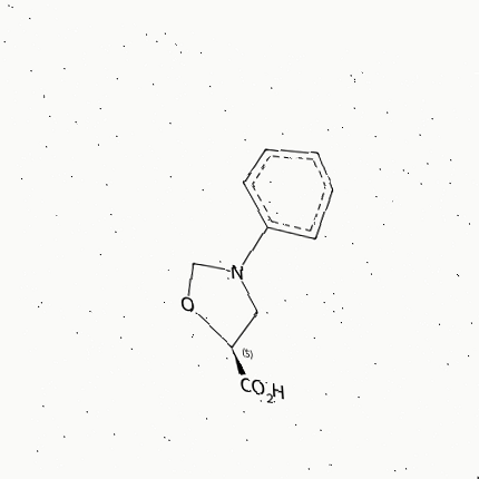 O=C(O)[C@@H]1CN(c2ccccc2)CO1